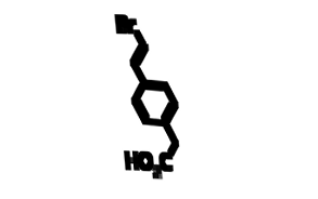 O=C(O)Cc1ccc(C=CBr)cc1